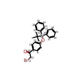 CC(C)(C)[Si](Oc1ccc(C(=O)CBr)cc1)(c1ccccc1)c1ccccc1